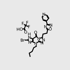 CCCCCn1c2nc(Br)[nH]c2c(=O)n2c(CCc3nc(-c4ccncc4)no3)nnc12.O=C(O)C(F)(F)F